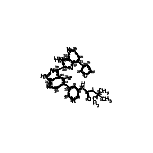 CC(C)(C)CC(=O)Nc1cncc(-c2cnc3[nH]nc(-c4nc5c(-c6ccoc6)ccnc5[nH]4)c3c2F)c1